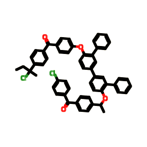 CCC(C)(Cl)c1ccc(C(=O)c2ccc(Oc3ccc(-c4ccc(OC(C)c5ccc(C(=O)c6ccc(Cl)cc6)cc5)c(-c5ccccc5)c4)cc3-c3ccccc3)cc2)cc1